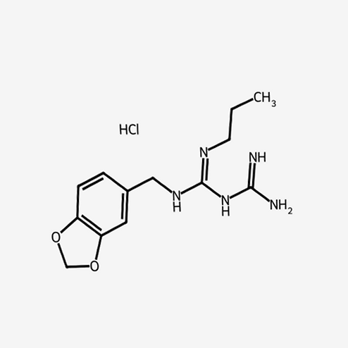 CCCN=C(NCc1ccc2c(c1)OCO2)NC(=N)N.Cl